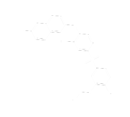 CCOSc1cc(S(=O)(=O)c2ccc(Oc3ccc4cc(C)ccc4c3)c(S)c2)ccc1O